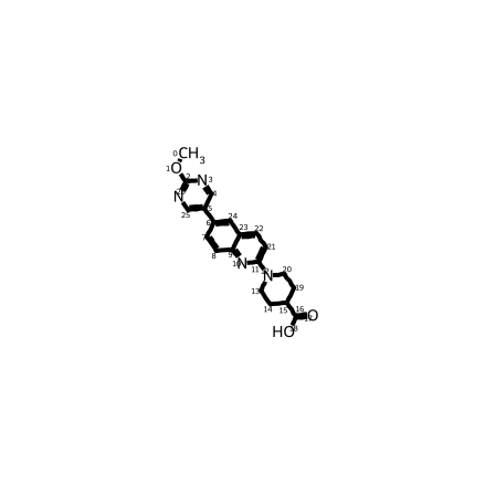 COc1ncc(-c2ccc3nc(N4CCC(C(=O)O)CC4)ccc3c2)cn1